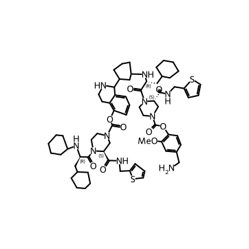 COc1cc(CN)ccc1OC(=O)N1CCN(C(=O)[C@@H](CC2CCCCC2)NC2CCCC(C3NCCc4c(OC(=O)N5CCN(C(=O)[C@@H](CC6CCCCC6)NC6CCCCC6)[C@H](C(=O)NCc6cccs6)C5)cccc43)C2)[C@H](C(=O)NCc2cccs2)C1